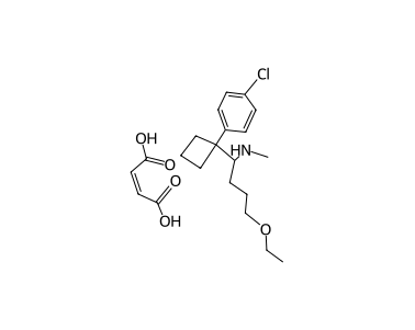 CCOCCCC(NC)C1(c2ccc(Cl)cc2)CCC1.O=C(O)/C=C\C(=O)O